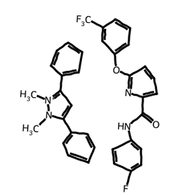 Cn1c(-c2ccccc2)cc(-c2ccccc2)[n+]1C.O=C(Nc1ccc(F)cc1)c1cccc(Oc2cccc(C(F)(F)F)c2)n1